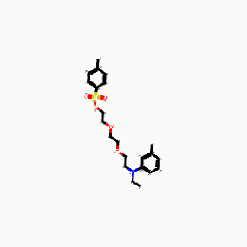 CCN(CCOCCOCCOS(=O)(=O)c1ccc(C)cc1)c1cccc(C)c1